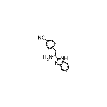 N#Cc1ccc(CC(N)c2nc3ccccc3[nH]2)cc1